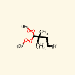 CC(C)CCC(C)(C)C(OOC(C)(C)C)OOC(C)(C)C